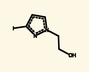 OCCn1ccc(I)n1